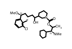 CN[C@@H](C1CCCCC1)C(C)OC(=O)N1CCCC(C(O)CCC[C@H](OC)c2cccc(Cl)c2F)C1